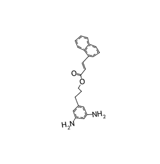 Nc1cc(N)cc(CCCOC(=O)C=Cc2cccc3ccccc23)c1